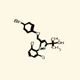 CC(C)(O)c1cc(COC2=CCC(Br)C=C2)n(-c2c(Cl)cccc2Cl)n1